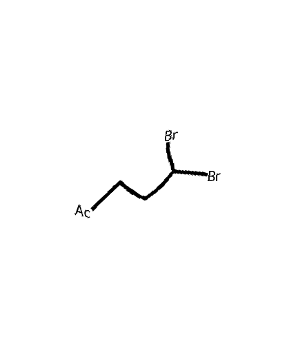 CC(=O)CCC(Br)Br